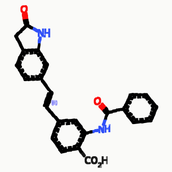 O=C1Cc2ccc(/C=C/c3ccc(C(=O)O)c(NC(=O)c4ccccc4)c3)cc2N1